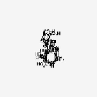 CC(C)C[C@@H]1NC(=O)[C@H](CC(=O)O)NC(=O)[C@H](Cc2ccc(O)c(Cl)c2)NC(=O)[C@@H]2CC(O)CN2C(=O)[C@@H](NC(=O)[C@H](Cc2c[nH]cn2)NC(=O)[C@H](Cc2ccccc2)Nc2c(CN3CCN(CC(=O)O)CCN(CC(=O)O)CCN(CC(=O)O)CC3)c(=O)c2=O)CSSC[C@@H](C)NC1=O